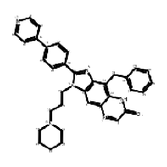 O=c1cnc2cc3c(nc(-c4ccc(-c5ccncc5)cc4)n3CCCN3CCCCC3)c(Cc3ccccc3)c2[nH]1